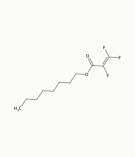 CCCCCCCCOC(=O)C(F)=C(F)F